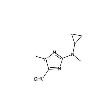 CN(c1nc(C=O)n(C)n1)C1CC1